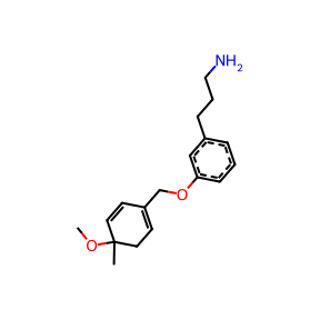 COC1(C)C=CC(COc2cccc(CCCN)c2)=CC1